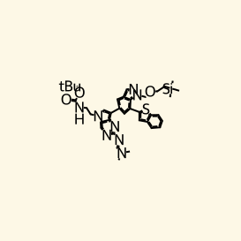 CN(C)C=Nc1ncc2c(n1)c(-c1cc(-c3cc4ccccc4s3)c3c(cnn3COCC[Si](C)(C)C)c1)cn2CCNC(=O)OC(C)(C)C